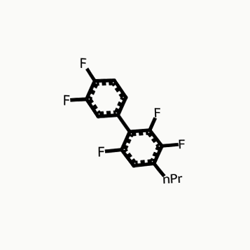 CCCc1cc(F)c(-c2ccc(F)c(F)c2)c(F)c1F